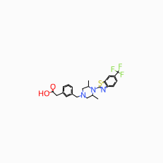 CC1CN(Cc2cccc(CC(=O)O)c2)CC(C)N1c1nc2ccc(C(F)(F)F)cc2s1